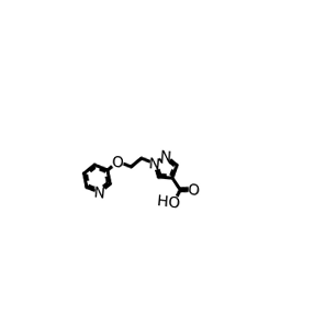 O=C(O)c1cnn(CCOc2cccnc2)c1